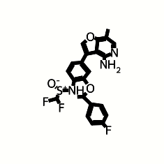 Cc1cnc(N)c2c(-c3ccc(N[S+]([O-])C(F)F)c(OC(C)c4ccc(F)cc4)c3)coc12